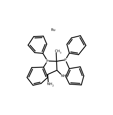 CC(C(N)CN)(P(c1ccccc1)c1ccccc1)P(c1ccccc1)c1ccccc1.[Ru]